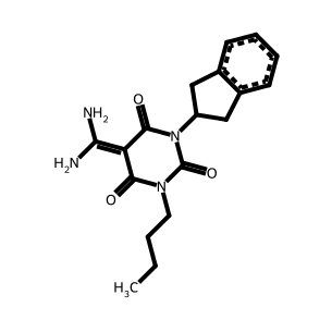 CCCCN1C(=O)C(=C(N)N)C(=O)N(C2Cc3ccccc3C2)C1=O